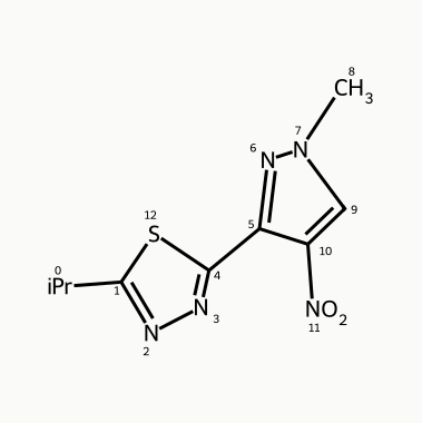 CC(C)c1nnc(-c2nn(C)cc2[N+](=O)[O-])s1